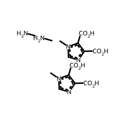 CN.CN.Cn1cnc(C(=O)O)c1C(=O)O.Cn1cnc(C(=O)O)c1C(=O)O